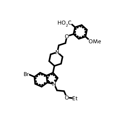 CCOCCn1cc(C2CCN(CCOc3cc(OC)ccc3C(=O)O)CC2)c2cc(Br)ccc21